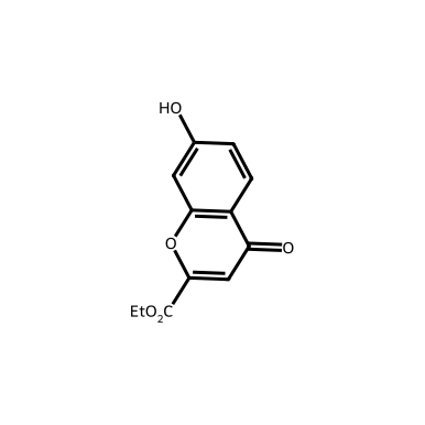 CCOC(=O)c1cc(=O)c2ccc(O)cc2o1